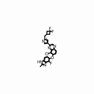 Cc1nc2c(F)c(Oc3ccc4ncc(-c5cnn(CC6CC(F)(F)C6)c5)nc4c3Cl)ccc2[nH]1